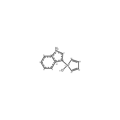 [O-][N+]1(c2c[nH]c3ccccc23)C=CC=C1